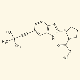 CC(C)(C)OC(=O)N1CCC[C@H]1c1nc2ccc(C#C[Si](C)(C)C)cc2[nH]1